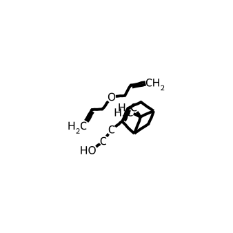 C=CCOCC=C.CC1(C)C2CC=C(CCO)C1C2